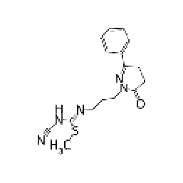 CSC(=NCCCN1N=C(c2ccccc2)CCC1=O)NC#N